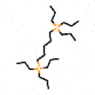 CCC[PH](CCC)(CCC)CCCCC[PH](CCC)(CCC)CCC